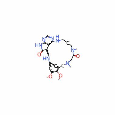 COc1cc2cc(c1OC)CN(C)CC(=O)N(C)CCCNc1ncnc3c1/C(=C/N2)C(=O)N3